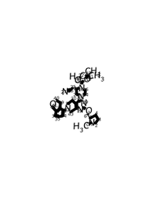 CN1CCC[C@H]1COc1nc2c(c(N3CCN(C(=O)OC(C)(C)C)[C@@H](CC#N)C3)n1)CCN(c1cccc3c1CCOC3)C2